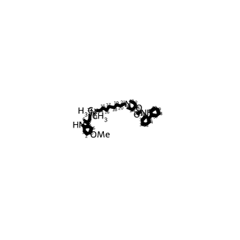 COc1ccc2[nH]cc(CC[N+](C)(C)CCCCCCCCCN3CCC(OC(=O)Nc4ccccc4-c4ccccc4)CC3)c2c1